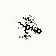 CC(C)OP(=O)(Oc1cc(C(=O)NC(C)(C)c2ccccc2)cc(CC(=O)OC(C)(C)C)c1C(C)CCCO)OC(C)C